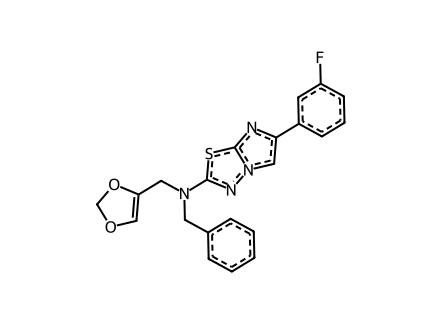 Fc1cccc(-c2cn3nc(N(CC4=COCO4)Cc4ccccc4)sc3n2)c1